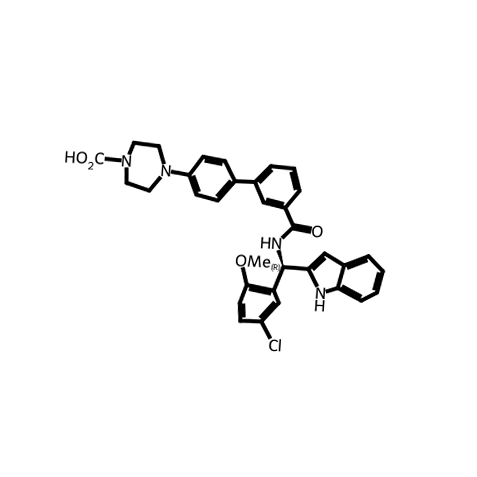 COc1ccc(Cl)cc1[C@@H](NC(=O)c1cccc(-c2ccc(N3CCN(C(=O)O)CC3)cc2)c1)c1cc2ccccc2[nH]1